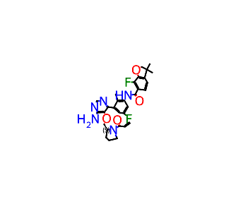 C=CC(=O)N1CCC[C@H]1COc1c(N)ncnc1-c1cc(F)cc(NC(=O)c2ccc3c(c2F)OCC3(C)C)c1C